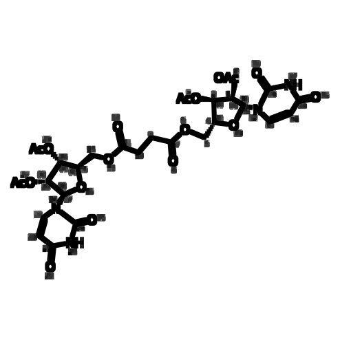 CC(=O)O[C@@H]1[C@H](OC(C)=O)[C@@H](COC(=O)CCC(=O)OC[C@H]2O[C@@H](n3ccc(=O)[nH]c3=O)[C@H](OC(C)=O)[C@@H]2OC(C)=O)O[C@H]1n1ccc(=O)[nH]c1=O